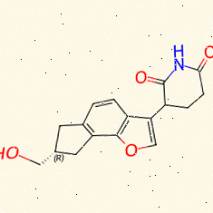 O=C1CCC(c2coc3c4c(ccc23)C[C@@H](CO)C4)C(=O)N1